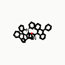 c1ccc(-c2c3ccccc3c(-c3ccc(-c4cccc5c4C4(c6ccccc6-5)c5ccccc5N(c5ccccc5)c5ccccc54)cn3)c3ccccc23)cc1